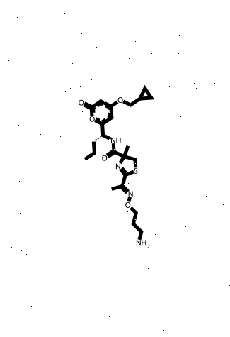 CCC[C@@H](NC(=O)C1(C)CSC(/C(C)=N/OCCCN)=N1)c1cc(OCC2CC2)cc(=O)o1